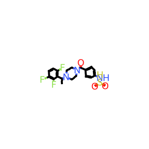 CC(c1c(F)ccc(F)c1F)N1CCN(C(=O)c2ccc(N[SH](=O)=O)cc2)CC1